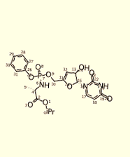 CC(C)OC(=O)[C@H](C)N[P@](=O)(OCC1=C[C@@H](O)[C@H](n2ccc(=O)[nH]c2=O)O1)Oc1ccccc1